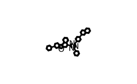 c1ccc(-c2ccc3c(c2)oc2cc(-c4nc(-c5ccccc5)nc(-c5ccc(-c6ccc7ccccc7c6)cc5)n4)c4ccccc4c23)cc1